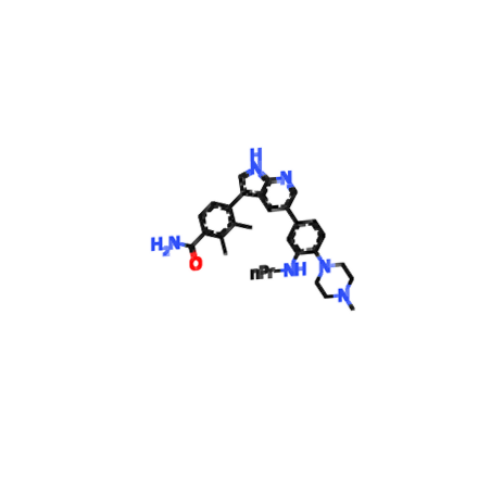 CCCNc1cc(-c2cnc3[nH]cc(-c4ccc(C(N)=O)c(C)c4C)c3c2)ccc1N1CCN(C)CC1